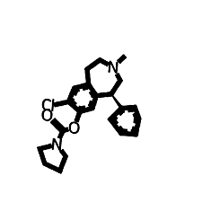 CN1CCc2cc(Cl)c(OC(=O)N3CCCC3)cc2[C@H](c2ccccc2)C1